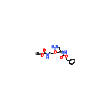 CC(C)(C)OC(=O)NCCOC[C@@H](CN)NC(=O)OCc1ccccc1